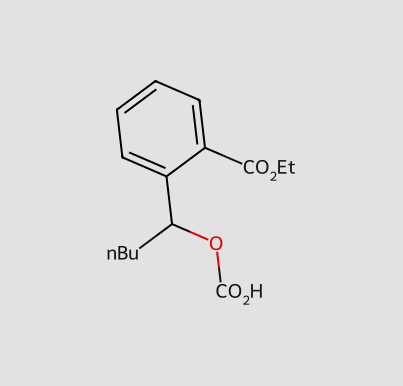 CCCCC(OC(=O)O)c1ccccc1C(=O)OCC